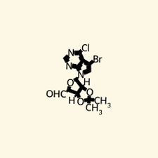 CC1(C)O[C@@H]2[C@H](O1)[C@@H](C=O)O[C@H]2n1cc(Br)c2c(Cl)ncnc21